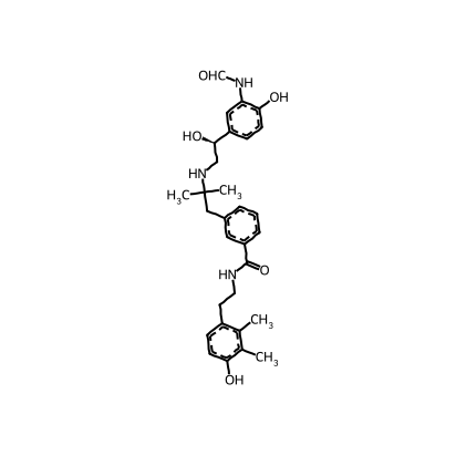 Cc1c(O)ccc(CCNC(=O)c2cccc(CC(C)(C)NC[C@@H](O)c3ccc(O)c(NC=O)c3)c2)c1C